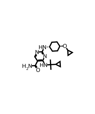 CC(C)(Nc1nc(N[C@H]2CC[C@H](OC3CC3)CC2)ncc1C(N)=O)C1CC1